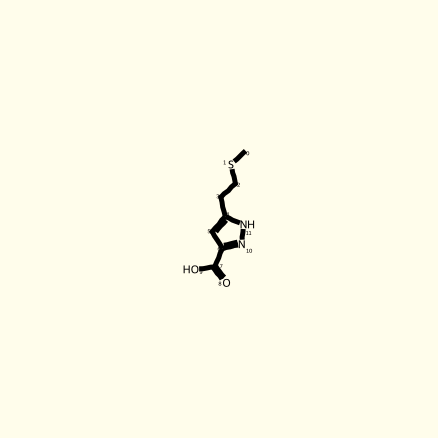 CSCCc1cc(C(=O)O)n[nH]1